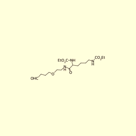 CCOC(=O)NCCCCC(NC(=O)OCC)C(=O)NCCOCCCC=O